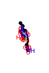 CC(C)(C)[C@H](NC(=O)c1cc2cc(C(F)(F)P(=O)(O)O)ccc2s1)C(=O)N1Cc2cc(OCC(=O)NCCCCCC#Cc3ccc4c(c3)C(=O)N(C3CCC(=O)NC3=O)C4=O)ccc2C[C@H]1C(=O)N1CCCC(c2ccccc2)C1